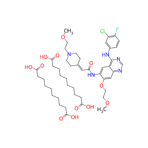 COCCOc1cc2ncnc(Nc3ccc(F)c(Cl)c3)c2cc1NC(=O)C=C1CCN(CCOC)CC1.O=C(O)CCCCCCCCC(=O)O.O=C(O)CCCCCCCCC(=O)O